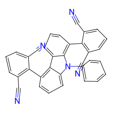 N#Cc1cccc(C#N)c1-c1cccc2c1c1cccc(-c3c(C#N)cccc3C#N)c1n2-c1ccccc1